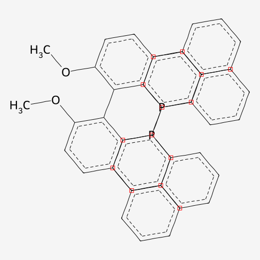 COc1ccc(-c2ccccc2)c(P(c2ccccc2)c2ccccc2)c1-c1c(OC)ccc(-c2ccccc2)c1P(c1ccccc1)c1ccccc1